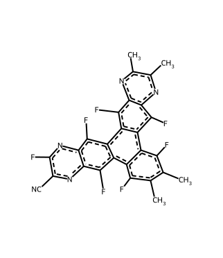 Cc1nc2c(F)c3c4c(F)c(C)c(C)c(F)c4c4c(F)c5nc(C#N)c(F)nc5c(F)c4c3c(F)c2nc1C